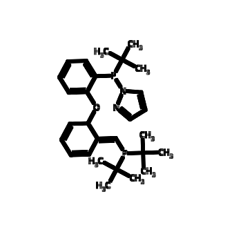 CC(C)(C)P(c1ccccc1OC1C=CC=CC1=CP(C(C)(C)C)C(C)(C)C)n1cccn1